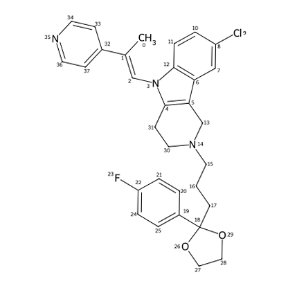 CC(=Cn1c2c(c3cc(Cl)ccc31)CN(CCCC1(c3ccc(F)cc3)OCCO1)CC2)c1ccncc1